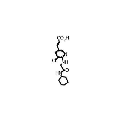 O=C(O)/C=C/c1cnc(NCC(=O)NC2CCCCC2)c(Cl)c1